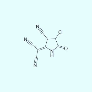 N#CC(C#N)=C1NC(=O)C(Cl)C1C#N